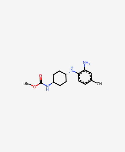 CC(C)(C)OC(=O)N[C@H]1CC[C@H](Nc2ccc(C#N)cc2N)CC1